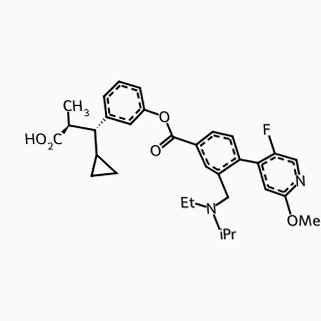 CCN(Cc1cc(C(=O)Oc2cccc([C@H](C3CC3)[C@H](C)C(=O)O)c2)ccc1-c1cc(OC)ncc1F)C(C)C